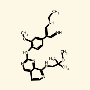 CCN/C=C(\C=N)c1ccc(Nc2ncc3ccnc(NCC(C)(C)OC)c3n2)c(OC)c1